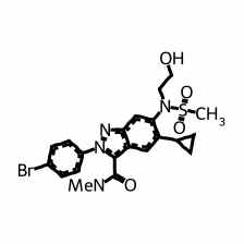 CNC(=O)c1c2cc(C3CC3)c(N(CCO)S(C)(=O)=O)cc2nn1-c1ccc(Br)cc1